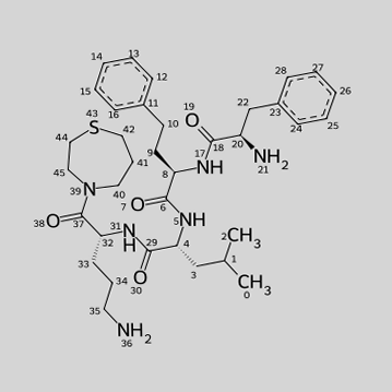 CC(C)C[C@@H](NC(=O)[C@@H](CCc1ccccc1)NC(=O)[C@H](N)Cc1ccccc1)C(=O)N[C@H](CCCN)C(=O)N1CCCSCC1